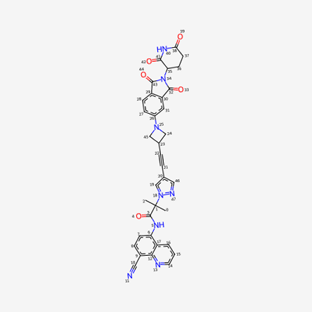 CC(C)(C(=O)Nc1ccc(C#N)c2ncccc12)n1cc(C#CC2CN(c3ccc4c(c3)C(=O)N(C3CCC(=O)NC3=O)C4=O)C2)cn1